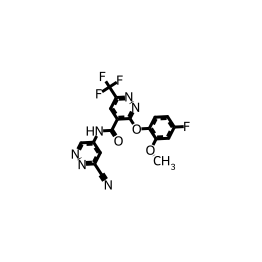 COc1cc(F)ccc1Oc1nnc(C(F)(F)F)cc1C(=O)Nc1cnnc(C#N)c1